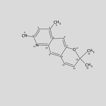 [C-]#[N+]c1cc(C)c2cc3c(cc2n1)C=CC(C)(C)O3